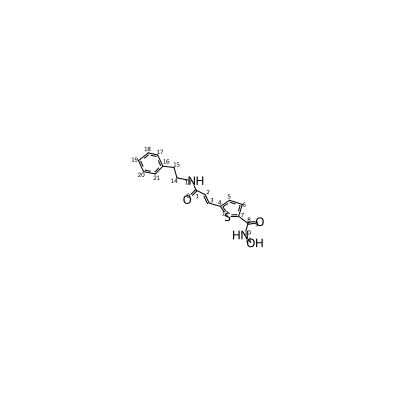 O=C(C=Cc1ccc(C(=O)NO)s1)NCCc1ccccc1